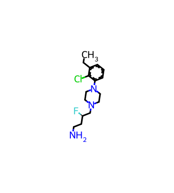 CCc1cccc(N2CCN(C[C@H](F)CCN)CC2)c1Cl